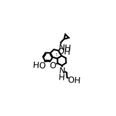 C[C@@]12c3c4ccc(O)c3OC1C(NCCO)CC[C@]2(O)[C@@H](NCC1CC1)C4